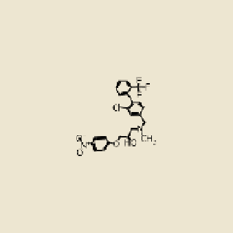 CN(Cc1ccc(-c2ccccc2C(F)(F)F)c(Cl)c1)CC(O)COc1ccc([N+](=O)[O-])cc1